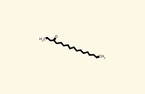 C=CCCCCCCCCCCCCC(=O)CC=C